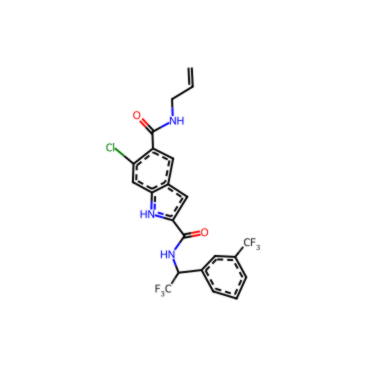 C=CCNC(=O)c1cc2cc(C(=O)NC(c3cccc(C(F)(F)F)c3)C(F)(F)F)[nH]c2cc1Cl